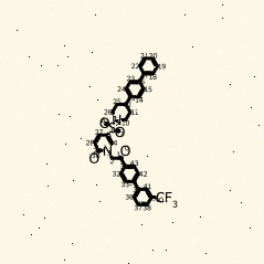 O=C(Cn1cc(S(=O)(=O)N2CCC(c3ccc(-c4ccccc4)cc3)CC2)ccc1=O)c1ccc(-c2cccc(C(F)(F)F)c2)cc1